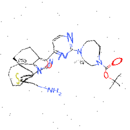 C[C@H]1CN(C(=O)OC(C)(C)C)CCCN1c1nccc(-c2onc3c2CCC[C@@]32CCCc3sc(N)c(C#N)c32)n1